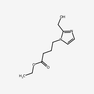 CCOC(=O)CCCn1ccnc1CO